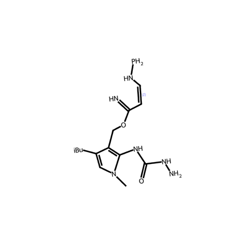 CCC(C)c1cn(C)c(NC(=O)NN)c1COC(=N)/C=C\NP